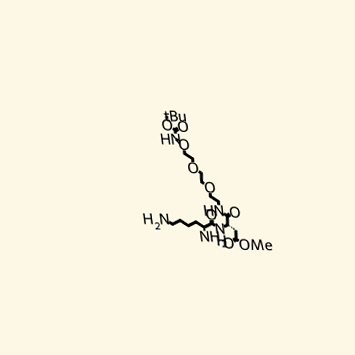 COC(=O)C[C@H](NC(=O)[C@@H](N)CCCCN)C(=O)NCCOCCOCCONC(=O)OC(C)(C)C